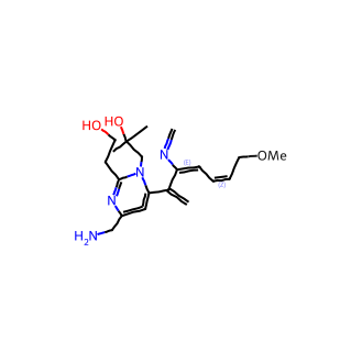 C=N/C(=C/C=C\COC)C(=C)C1=C=C(CN)N=C(CCO)N1CC(C)(C)O